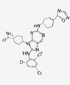 NC(=O)C1CCC(n2c(Nc3c(Cl)cc(Cl)cc3Cl)nc3cnc(NC4CCC(c5ncno5)CC4)nc32)CC1